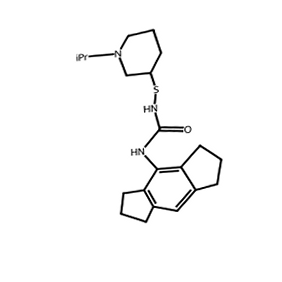 CC(C)N1CCCC(SNC(=O)Nc2c3c(cc4c2CCC4)CCC3)C1